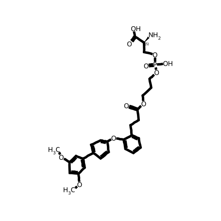 COc1cc(OC)cc(-c2ccc(Oc3ccccc3CCC(=O)OCCCOP(=O)(O)OC[C@H](N)C(=O)O)cc2)c1